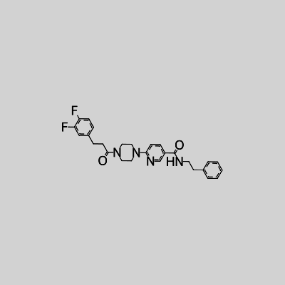 O=C(NCCc1ccccc1)c1ccc(N2CCN(C(=O)CCc3ccc(F)c(F)c3)CC2)nc1